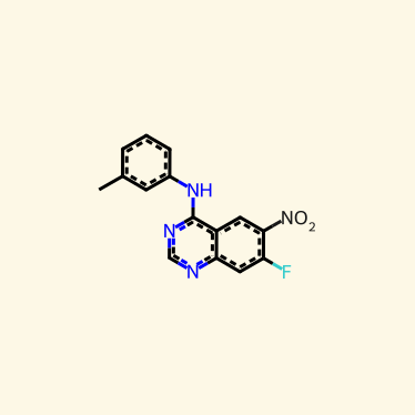 Cc1cccc(Nc2ncnc3cc(F)c([N+](=O)[O-])cc23)c1